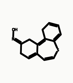 ON=C1CC=C2C=CSC3=CC=CCC3=C2C1